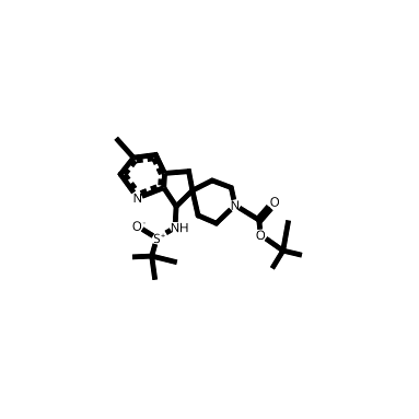 Cc1cnc2c(c1)CC1(CCN(C(=O)OC(C)(C)C)CC1)C2N[S+]([O-])C(C)(C)C